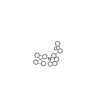 c1ccc2c(c1)-c1ccccc1C21c2ccccc2-c2ccc(N(c3ccc(-c4cccc5c4oc4ccccc45)cc3)c3cccc4ccc5ccccc5c34)cc21